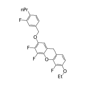 CCCc1ccc(COc2cc3c(c(F)c2F)Oc2c(ccc(OCC)c2F)C3)cc1F